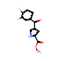 COC(=O)c1cc(C(=O)c2ccc(F)c(F)c2)c[nH]1